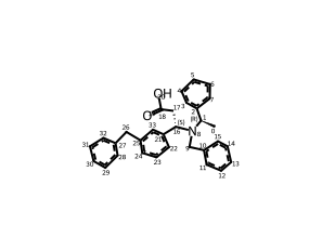 C[C@H](c1ccccc1)N(Cc1ccccc1)[C@@H](CC(=O)O)c1cccc(Cc2ccccc2)c1